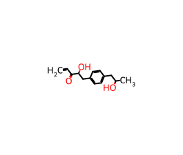 C=CC(=O)C(O)Cc1ccc(C[C](C)O)cc1